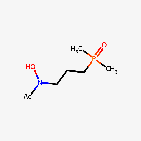 CC(=O)N(O)CCCP(C)(C)=O